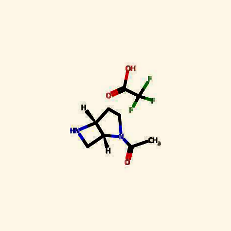 CC(=O)N1CC[C@H]2NC[C@H]21.O=C(O)C(F)(F)F